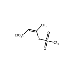 CCOC(=O)/C=C(/C)OS(=O)(=O)C(F)(F)F